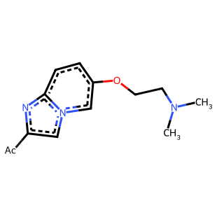 CC(=O)c1cn2cc(OCCN(C)C)ccc2n1